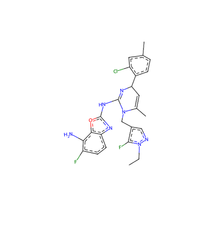 CCn1ncc(CN2C(C)=CC(c3ccc(C)cc3Cl)N=C2Nc2nc3ccc(F)c(N)c3o2)c1F